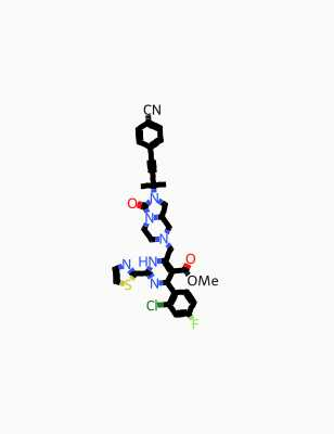 COC(=O)C1=C(CN2CCN3C(=O)N(C(C)(C)C#Cc4ccc(C#N)cc4)CC3C2)NC(c2nccs2)=NC1c1ccc(F)cc1Cl